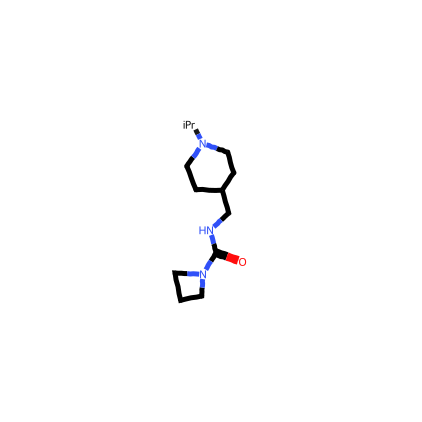 CC(C)N1CCC(CNC(=O)N2CCC2)CC1